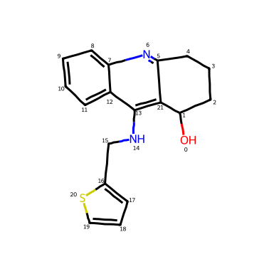 OC1CCCc2nc3ccccc3c(NCc3cccs3)c21